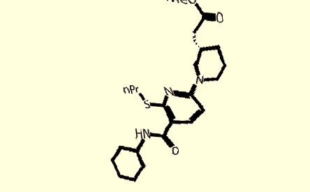 CCCSc1nc(N2CCC[C@@H](CC(=O)OC)C2)ccc1C(=O)NC1CCCCC1